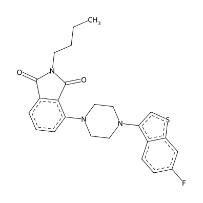 CCCCN1C(=O)c2cccc(N3CCN(c4csc5cc(F)ccc45)CC3)c2C1=O